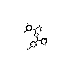 O=[SH](=O)CC(c1cc(F)cc(F)c1)C1CN(C(c2ccc(Cl)cc2)c2cncnc2)C1